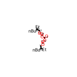 CCCCC(CC)COOOC(=O)OOOCC(CC)CCCC